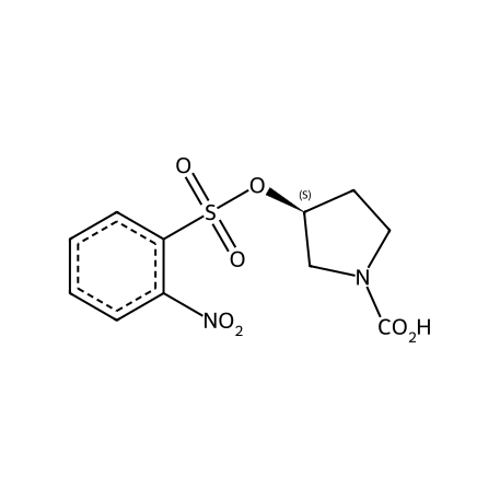 O=C(O)N1CC[C@H](OS(=O)(=O)c2ccccc2[N+](=O)[O-])C1